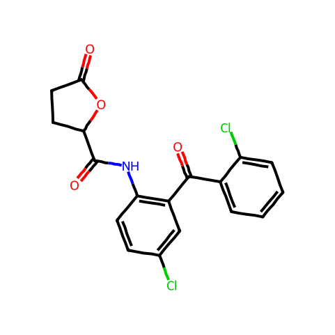 O=C1CCC(C(=O)Nc2ccc(Cl)cc2C(=O)c2ccccc2Cl)O1